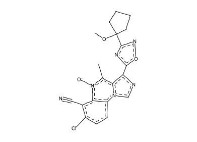 COC1(c2noc(-c3ncn4c3c(C)[n+]([O-])c3c(C#N)c(Cl)ccc34)n2)CCCC1